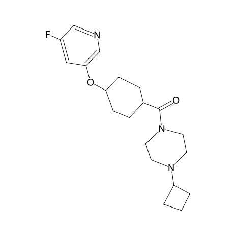 O=C(C1CCC(Oc2cncc(F)c2)CC1)N1CCN(C2CCC2)CC1